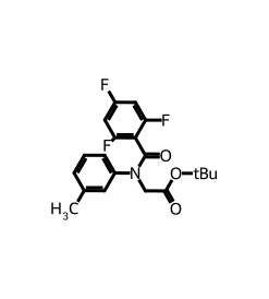 Cc1cccc(N(CC(=O)OC(C)(C)C)C(=O)c2c(F)cc(F)cc2F)c1